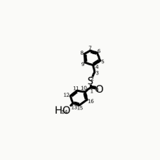 O=C(SCc1ccccc1)c1ccc(O)cc1